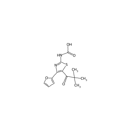 CC(C)(C)C(=O)c1sc(NC(=O)O)nc1-c1ccco1